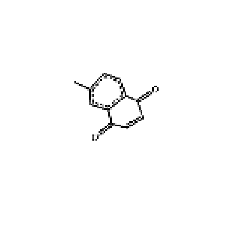 Cc1ccc2c(c1)C(=O)C=CC2=O